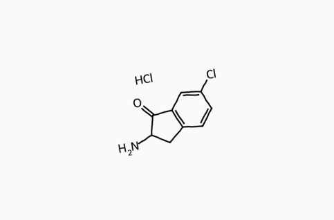 Cl.NC1Cc2ccc(Cl)cc2C1=O